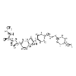 CN1CCN(CCOc2ccc(-c3cc4cc(-c5csc(C(=O)NCC(F)(F)F)c5)cnc4[nH]3)cc2)CC1